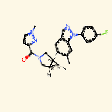 Cc1cc2c(cnn2-c2ccc(F)cc2)cc1[C@@]12CN(C(=O)c3ccn(C)n3)C[C@@H]1[C@H]2C